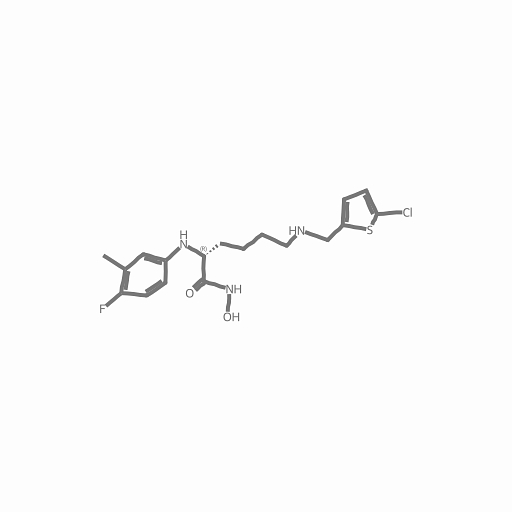 Cc1cc(N[C@H](CCCCNCc2ccc(Cl)s2)C(=O)NO)ccc1F